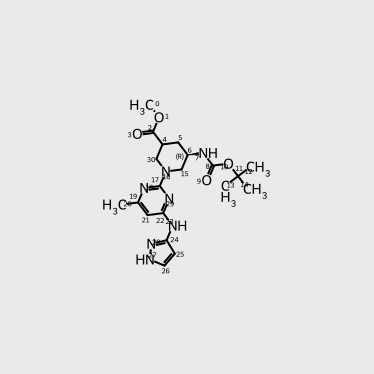 COC(=O)C1C[C@@H](NC(=O)OC(C)(C)C)CN(c2nc(C)cc(Nc3cc[nH]n3)n2)C1